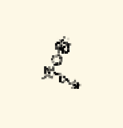 CC1=CC(COCC[Si](C)(C)C)C(c2ccc(B3OC(C)(C)C(C)(C)O3)cc2)=N1